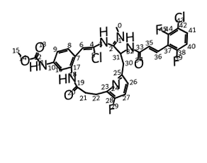 C/N=C1\N/C(Cl)=C/c2ccc(NC(=O)OC)cc2NC(=O)CCc2nc(ccc2F)CC1NC(=O)/C=C/c1c(F)ccc(Cl)c1F